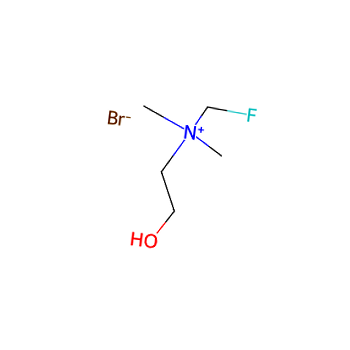 C[N+](C)(CF)CCO.[Br-]